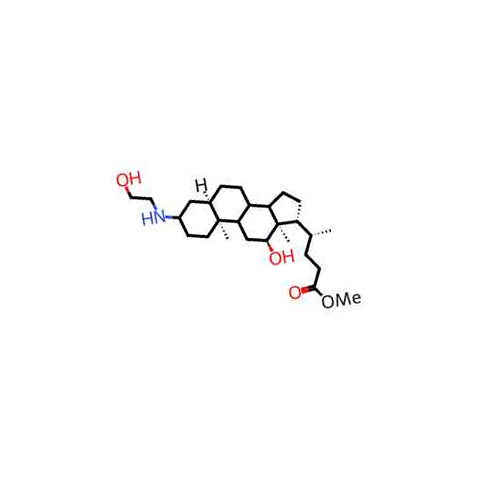 COC(=O)CC[C@@H](C)[C@H]1CCC2C3CC[C@@H]4CC(NCCO)CC[C@]4(C)C3C[C@H](O)[C@@]21C